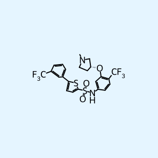 CN1CC[C@@H](Oc2cc(NS(=O)(=O)c3ccc(-c4cccc(C(F)(F)F)c4)s3)ccc2C(F)(F)F)C1